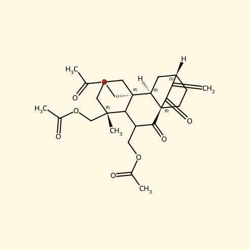 C=C1C(=O)[C@]23CC[C@H]1C[C@@H]2[C@]1(COC(C)=O)CCC[C@@](C)(COC(C)=O)C1C(COC(C)=O)C3=O